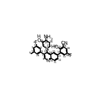 Cc1cc(F)cc(-c2cnc3ccc(-c4cc(F)cc(C#N)c4O)cc3c2N2CC[C@H](N)[C@H](O)C2)c1